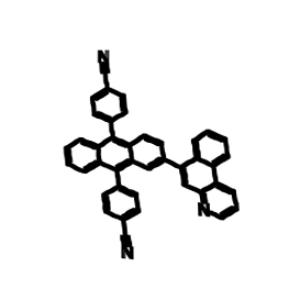 N#Cc1ccc(-c2c3ccccc3c(-c3ccc(C#N)cc3)c3cc(-c4cc5ncccc5c5ccccc45)ccc23)cc1